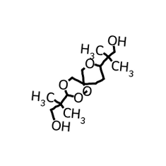 CC(C)(CO)C1CCC2(CO1)COC(C(C)(C)CO)OO2